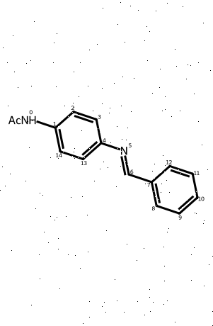 CC(=O)Nc1ccc(/N=C/c2ccccc2)cc1